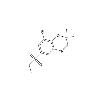 CCS(=O)(=O)c1cc(Br)c2c(c1)N=CC(C)(C)O2